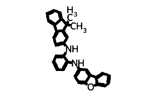 CC1(C)c2ccccc2-c2ccc(Nc3ccccc3Nc3ccc4oc5ccccc5c4c3)cc21